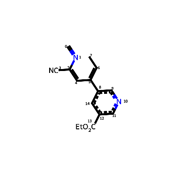 C=N/C(C#N)=C\C(=C/C)c1cncc(C(=O)OCC)c1